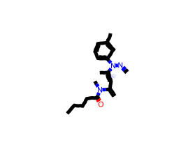 C=NN(/C(C)=C/C(=C)N(C)C(=O)CCCC)c1cccc(C)c1